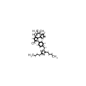 CCCCc1nc(CCCC)n(Cc2ccc(-n3c(Cl)cc(Cl)c3-c3nnn[n]3[Sn]([CH3])([CH3])[CH3])cc2)n1